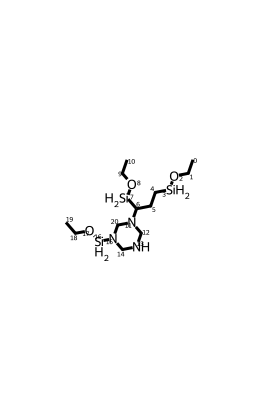 CCO[SiH2]CCC([SiH2]OCC)N1CNCN([SiH2]OCC)C1